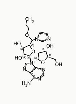 CCCOC([C@H]1O[C@@H]([N+]2([C@@H]3C[C@H](O)[C@@H](CO)O3)C=Nc3c(N)ncnc32)[C@H](O)[C@@H]1O)n1ccnc1